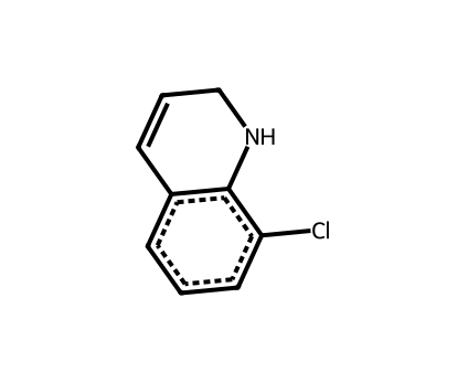 Clc1cccc2c1NCC=C2